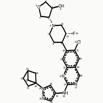 OC1COC[C@H]1N1CCC(c2cc3nc(Nc4cnn(C56CCC(C5)C6)c4)ncc3cc2Cl)[C@@H](F)C1